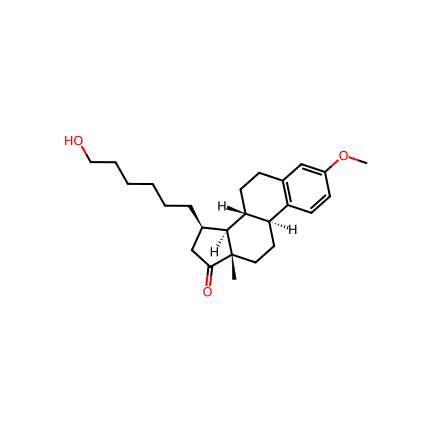 COc1ccc2c(c1)CC[C@H]1[C@@H]3[C@H](CCCCCCO)CC(=O)[C@@]3(C)CC[C@H]21